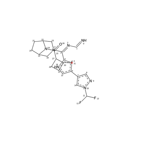 N=C/N=C(\c1cc(-c2cnn(C(F)F)c2)c[nH]1)N1CC2CCC(C1)N2C(=O)C1CCC1F